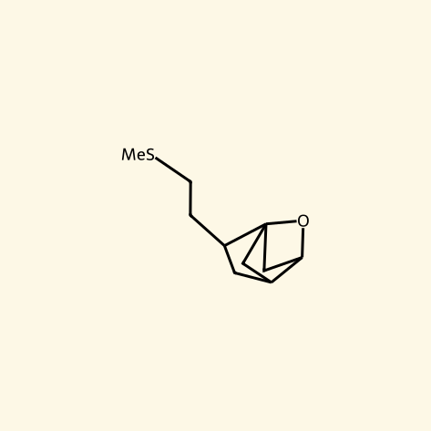 CSCCC1CC2CC13CC2O3